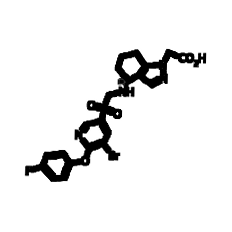 O=C(O)Cn1ncc2c1CCC[C@H]2NCS(=O)(=O)c1cnc(Oc2ccc(F)cc2)c(Br)c1